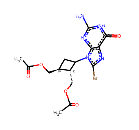 CC(=O)OC[C@H]1CC(n2c(Br)nc3c(=O)[nH]c(N)nc32)[C@@H]1COC(C)=O